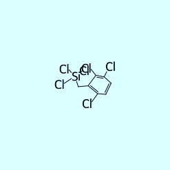 Clc1ccc(Cl)c(C[Si](Cl)(Cl)Cl)c1Cl